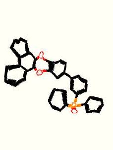 O=P(c1ccccc1)(c1ccccc1)c1cccc(-c2ccc3c(c2)Oc2c(c4ccccc4c4ccccc24)O3)c1